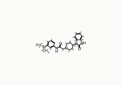 CN(C)c1cccc(NC(=O)CN2CCC(n3c(=O)[nH]c4ccccc43)CC2)c1